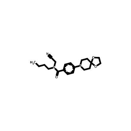 CCCCN(CC#N)C(=O)c1ccc(N2CCC3(CC2)OCCO3)cc1